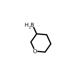 BC1CCCOC1